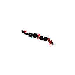 C=CC(=O)CC#Cc1ccc(-c2ccc(C(=O)Oc3ccc(-c4ccc(OCOC(=O)C=C)cc4)cc3)cc2)c(F)c1